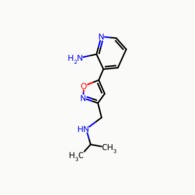 CC(C)NCc1cc(-c2cccnc2N)on1